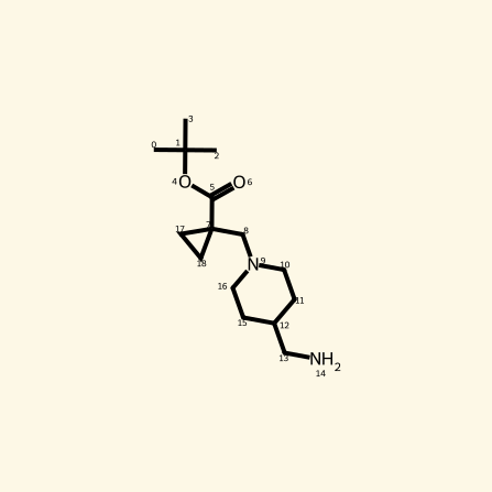 CC(C)(C)OC(=O)C1(CN2CCC(CN)CC2)CC1